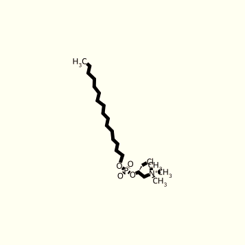 CCCCCCCCCCCCCCCCOP(=O)([O-])O[C@H](CCl)C[N+](C)(C)C